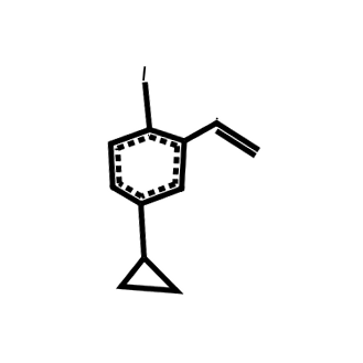 C=[C]c1cc(C2CC2)ccc1I